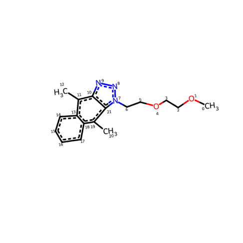 COCCOCCn1nnc2c(C)c3ccccc3c(C)c21